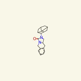 O=C1N2Cc3ccccc3CC2CN1C1C2CC3CC(C2)CC1C3